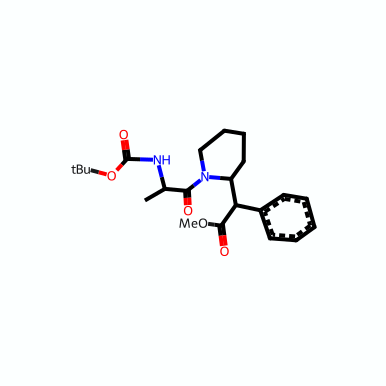 COC(=O)C(c1ccccc1)C1CCCCN1C(=O)C(C)NC(=O)OC(C)(C)C